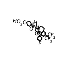 O=C(O)[C@H]1CC[C@](F)(C(=O)N[C@@H]2CC[C@@]3(S(=O)(=O)c4ccc(F)cc4)c4ccc(C(F)(C(F)(F)F)C(F)(F)F)cc4CCC[C@@H]23)CC1